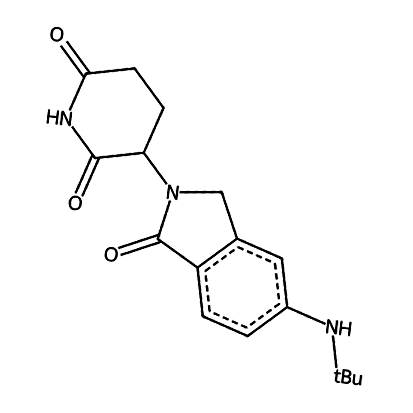 CC(C)(C)Nc1ccc2c(c1)CN(C1CCC(=O)NC1=O)C2=O